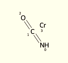 N=C=O.[Cr]